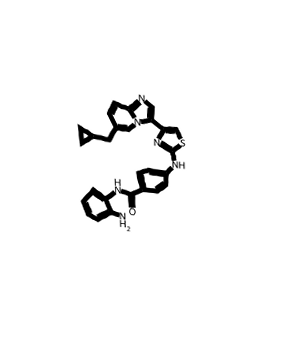 Nc1ccccc1NC(=O)c1ccc(Nc2nc(-c3cnc4ccc(CC5CC5)cn34)cs2)cc1